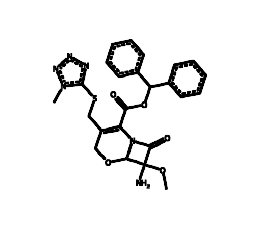 COC1(N)C(=O)N2C(C(=O)OC(c3ccccc3)c3ccccc3)=C(CSc3nnnn3C)COC21